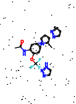 CC(=O)Nc1ccccc1OC(F)(F)F.Cc1ccc[nH]1.c1c[nH]nn1.c1c[se]nn1